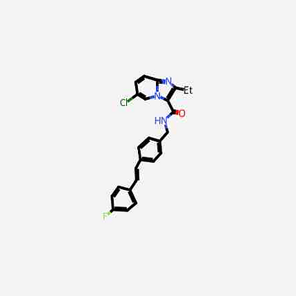 CCc1nc2ccc(Cl)cn2c1C(=O)NCc1ccc(/C=C/c2ccc(F)cc2)cc1